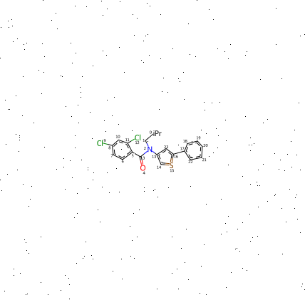 CC(C)CN(C(=O)c1ccc(Cl)cc1Cl)c1csc(-c2ccccc2)c1